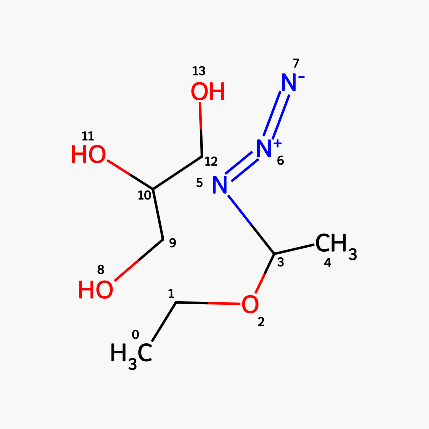 CCOC(C)N=[N+]=[N-].OCC(O)CO